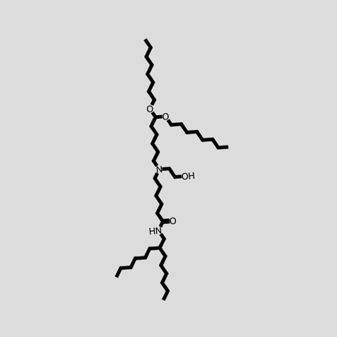 CCCCCCCCOC(CCCCCN(CCO)CCCCCC(=O)NCC(CCCCCC)CCCCCC)OCCCCCCCC